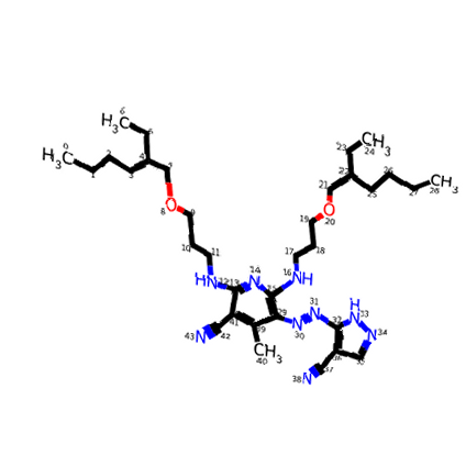 CCCCC(CC)COCCCNc1nc(NCCCOCC(CC)CCCC)c(N=Nc2[nH]ncc2C#N)c(C)c1C#N